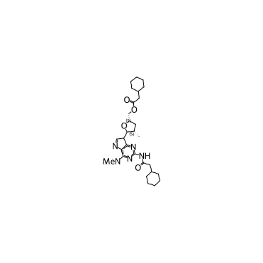 CNc1nc(NC(=O)CC2CCCCC2)nc2c1N=CC2C1O[C@H](COC(=O)CC2CCCCC2)C[C@@H]1C